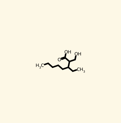 CCCCCC(CC)C(CO)C(=O)O